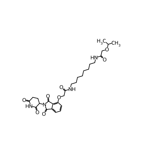 CC(C)OCC(=O)NCCCCCCCCNC(=O)COc1cccc2c1C(=O)N(C1CCC(=O)NC1=O)C2=O